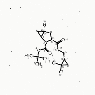 CC(C)(C)OC(=O)N1C2C[C@H]2C[C@H]1C(=O)NC[C@H]1CC1(Cl)Cl